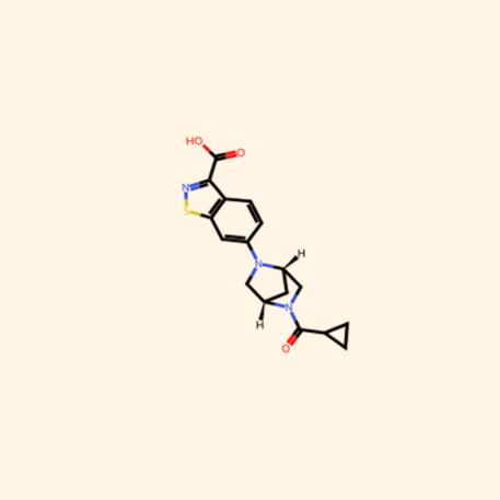 O=C(O)c1nsc2cc(N3C[C@@H]4C[C@H]3CN4C(=O)C3CC3)ccc12